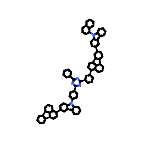 c1ccc(-c2nc(-c3ccc(-n4c5ccccc5c5cc(-c6ccc7c8c(cccc68)-c6ccccc6-7)ccc54)cc3)nc(-c3cccc(-c4ccc5c6c(cccc46)-c4ccc(-c6ccc7c(c6)c6ccccc6n7-c6cccc7ccccc67)cc4-5)c3)n2)cc1